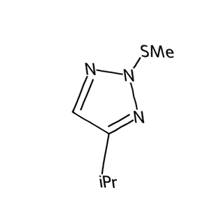 CSn1ncc(C(C)C)n1